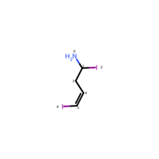 NC(I)C/C=C\I